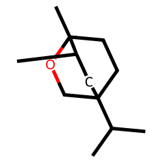 CC(C)C12CCC(C)(OC1)C(C)C2